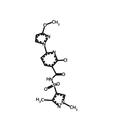 COc1ccn(-c2ccc(C(=O)NS(=O)(=O)c3cn(C)nc3C)c(Cl)n2)n1